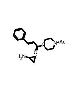 CC(=O)N1CCN(C(=O)C=Cc2ccccc2)CC1.NC1CC1